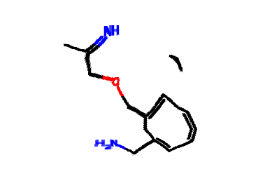 CC.CC(=N)COCc1ccccc1CN